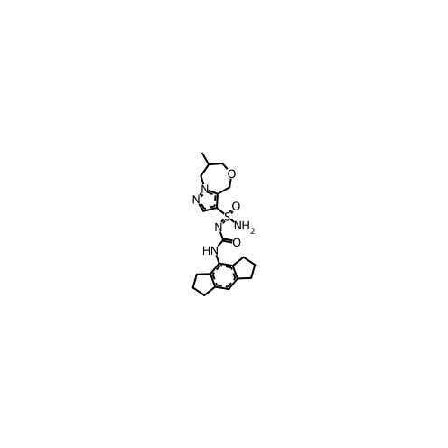 CC1COCc2c(S(N)(=O)=NC(=O)Nc3c4c(cc5c3CCC5)CCC4)cnn2C1